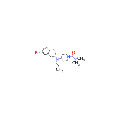 CCCN(C1CCN(C(=O)N(C)C)CC1)C1CCc2ccc(Br)cc2C1